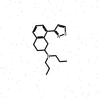 CCCN(CCC)C1CCc2cccc(-c3ccsn3)c2C1